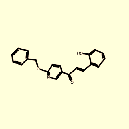 O=C(/C=C/c1ccccc1O)c1ccc(OCc2ccccc2)nc1